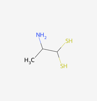 CC(N)C(S)S